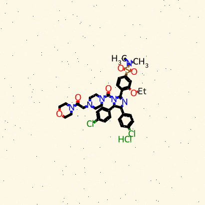 CCOc1cc(S(=O)(=O)N(C)C)ccc1C1=NC(c2ccc(Cl)cc2)C(c2ccc(Cl)cc2)N1C(=O)N1CCN(CC(=O)N2CCOCC2)CC1.Cl